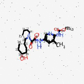 Cc1cc(NC(=O)C(=O)N2CCCC[C@H]2[C@H]2CC[C@@H](O)CC2)cnc1NC(=O)OC(C)(C)C